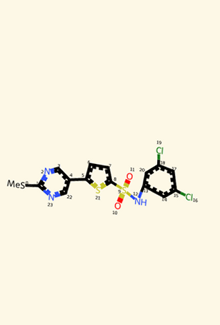 CSc1ncc(-c2ccc(S(=O)(=O)Nc3cc(Cl)cc(Cl)c3)s2)cn1